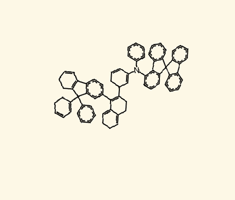 C1=CCCC(C2(c3ccccc3)C3=C(C=CCC3)c3ccc(C4=C(C5C=C(N(c6ccccc6)c6cccc7c6-c6ccccc6C76c7ccccc7-c7ccccc76)C=CC5)CCC5=CCCC=C54)cc32)=C1